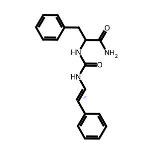 NC(=O)C(Cc1ccccc1)NC(=O)N/C=C/c1ccccc1